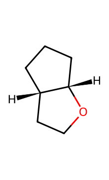 C1C[C@H]2CCO[C@H]2C1